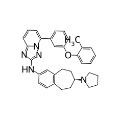 Cc1ccccc1Oc1cccc(-c2cccc3nc(Nc4ccc5c(c4)CC[C@@H](N4CCCC4)CC5)nn23)c1